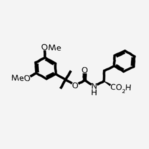 COc1cc(OC)cc(C(C)(C)OC(=O)N[C@@H](Cc2ccccc2)C(=O)O)c1